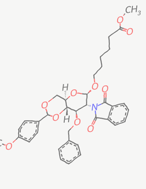 COC(=O)CCCCCO[C@@H]1O[C@@H]2COC(c3ccc(OC)cc3)O[C@H]2[C@H](OCc2ccccc2)[C@H]1N1C(=O)c2ccccc2C1=O